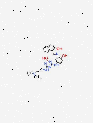 CN(C)CCCNc1nc(O)nc(Nc2ccc(O)c(N=Cc3c(O)ccc4ccccc34)c2)n1